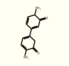 NC1=CC=C(C2=CC(=O)C(N)C=C2)CC1=O